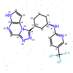 FC(F)(F)c1ccc(N[C@@H]2CCC[C@H](c3nnc4cnc5[nH]ccc5n34)C2)nc1